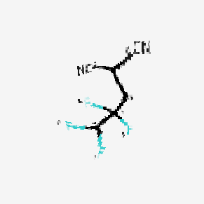 N#CC(C#N)CC(F)(F)C(F)F